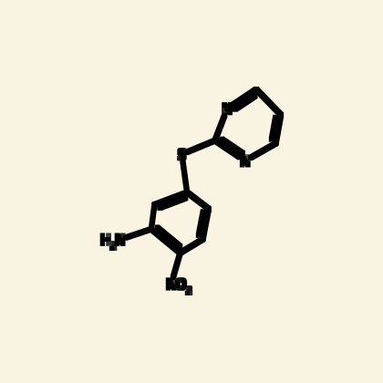 Nc1cc(Sc2ncccn2)ccc1[N+](=O)[O-]